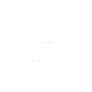 CNCC1(C)COC1